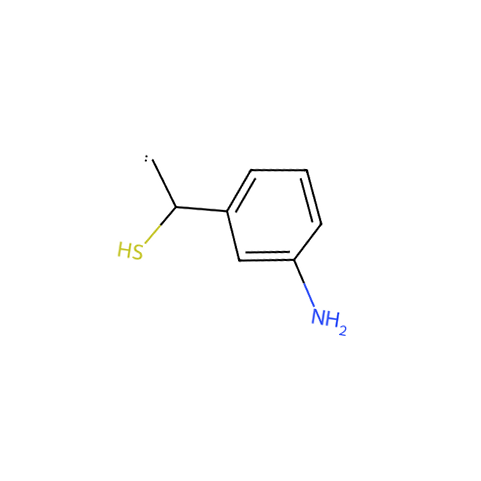 [CH]C(S)c1cccc(N)c1